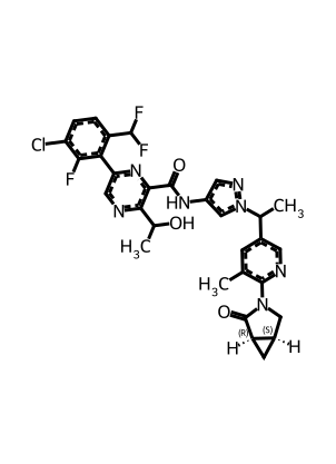 Cc1cc(C(C)n2cc(NC(=O)c3nc(-c4c(C(F)F)ccc(Cl)c4F)cnc3C(C)O)cn2)cnc1N1C[C@H]2C[C@H]2C1=O